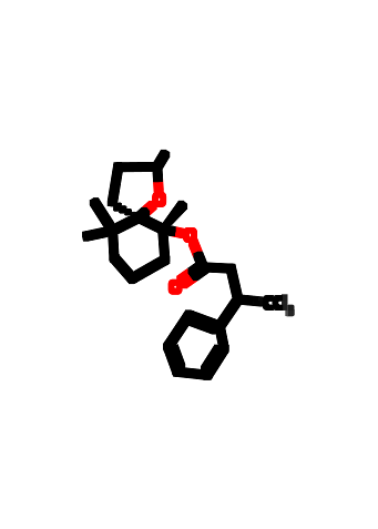 CC1CC[C@@]2(O1)C(C)(C)CCC[C@@]2(C)OC(=O)CC(c1ccccc1)C(Cl)(Cl)Cl